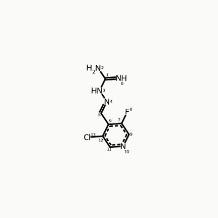 N=C(N)N/N=C/c1c(F)cncc1Cl